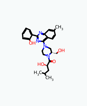 Cc1ccc2c(N3CCN(C(=O)[C@H](O)CC(C)C)[C@@H](CO)C3)nc(-c3ccccc3O)nc2c1